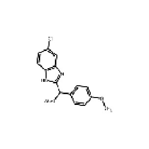 COC(c1ccc(OC(F)(F)F)cc1)c1nc2cc(Cl)ccc2[nH]1